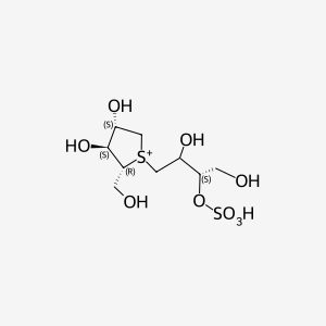 O=S(=O)(O)O[C@@H](CO)C(O)C[S+]1C[C@@H](O)[C@H](O)[C@H]1CO